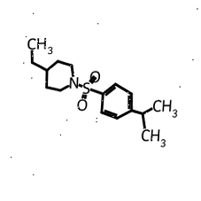 CCC1CCN(S(=O)(=O)c2ccc(C(C)C)cc2)CC1